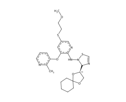 COCCSc1cnc(NN2SC=NC2[C@H]2COC3(CCCCC3)O2)c(Oc2cccnc2C)c1